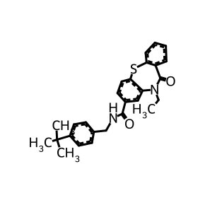 CCN1C(=O)c2ccccc2Sc2ccc(C(=O)NCc3ccc(C(C)(C)C)cc3)cc21